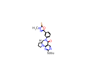 CNc1ncc2c(n1)N1CCC[C@H]1CN(c1cccc(-c3nn(C)c(=S)o3)c1)C2=O